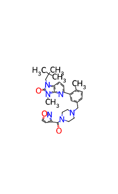 Cc1ccc(CN2CCN(C(=O)c3ccon3)CC2)cc1-c1ccc2c(n1)n(C)c(=O)n2CC(C)(C)C